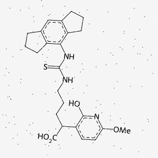 COc1ccc(C(CCCNC(=S)Nc2c3c(cc4c2CCC4)CCC3)C(=O)O)c(O)n1